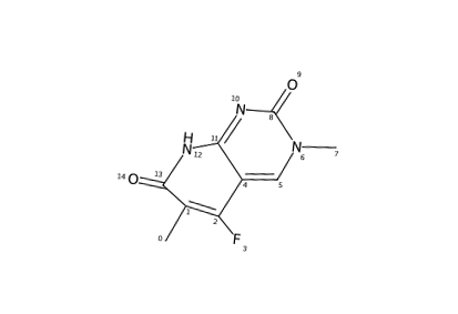 Cc1c(F)c2cn(C)c(=O)nc2[nH]c1=O